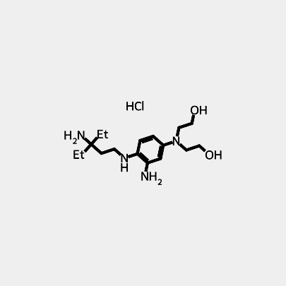 CCC(N)(CC)CCNc1ccc(N(CCO)CCO)cc1N.Cl